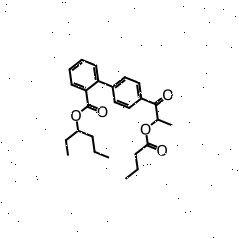 CCCC(=O)OC(C)C(=O)c1ccc(-c2ccccc2C(=O)OC(CC)CCC)cc1